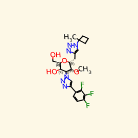 CO[C@@H]1[C@@H](n2cc(-c3ccc(F)c(F)c3F)nn2)[C@@H](O)[C@@H](CO)O[C@@H]1Cc1cn(C2(C)CCC2)nn1